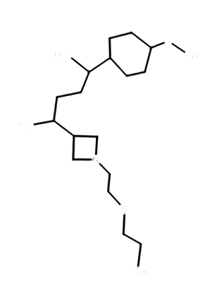 CCCOCCN1CC(C(C)CCC(C)C2CCC(SC)CC2)C1